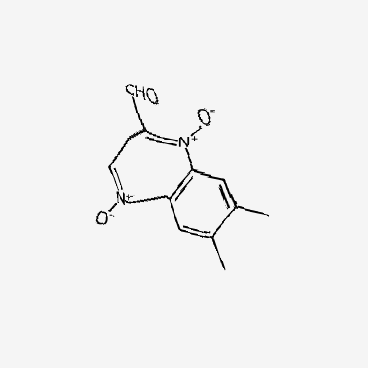 Cc1cc2c(cc1C)[n+]([O-])c(C=O)c[n+]2[O-]